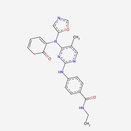 CCNC(=O)c1ccc(Nc2ncc(C)c(N(C3=CC=CCC3=O)c3cnco3)n2)cc1